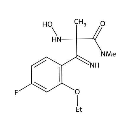 CCOc1cc(F)ccc1C(=N)C(C)(NO)C(=O)NC